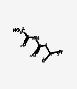 CCCC(Cl)CC(=O)NC(=O)C(=O)O